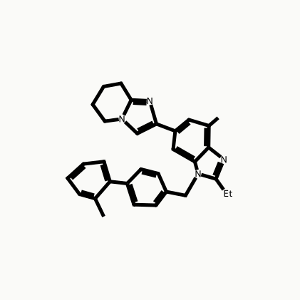 CCc1nc2c(C)cc(-c3cn4c(n3)CCCC4)cc2n1Cc1ccc(-c2ccccc2C)cc1